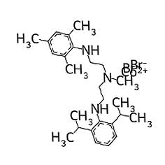 Cc1cc(C)c(NCCN(C)CCNc2c(C(C)C)cccc2C(C)C)c(C)c1.[Br-].[Br-].[Co+2]